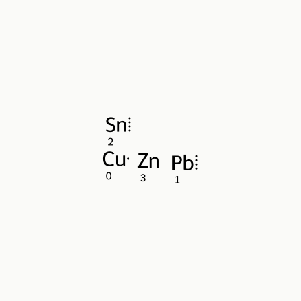 [Cu].[Pb].[Sn].[Zn]